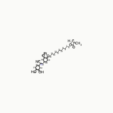 C=C(C)C(=O)OCCCCCCCCCCCOc1ccc(/C=C(\C#N)c2ccc(O)c(O)c2)cc1OCC